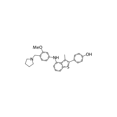 COc1cc(Nc2cccc3sc(-c4ccc(O)cc4)c(C)c23)ccc1CN1CCCC1